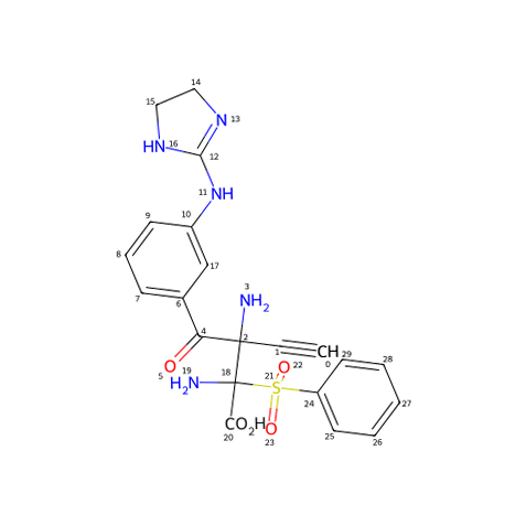 C#CC(N)(C(=O)c1cccc(NC2=NCCN2)c1)C(N)(C(=O)O)S(=O)(=O)c1ccccc1